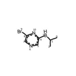 CC(C)Bc1cncc(Br)n1